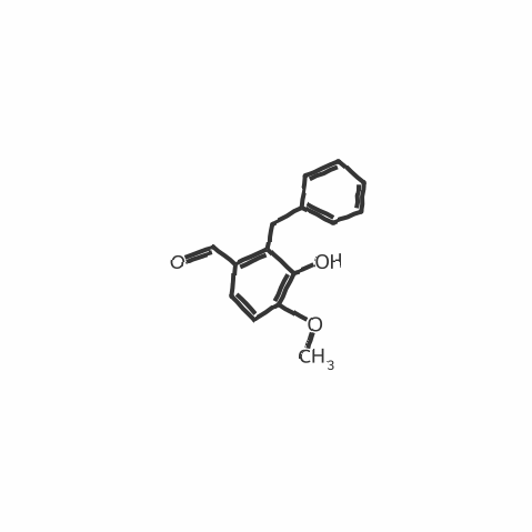 COc1ccc(C=O)c(Cc2ccccc2)c1O